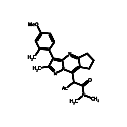 COc1ccc(-c2c(C)nn3c(C(C(C)=O)C(=O)N(C)C)c4c(nc23)CCC4)c(C)c1